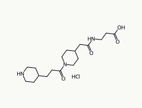 Cl.O=C(O)CCNC(=O)CC1CCN(C(=O)CCC2CCNCC2)CC1